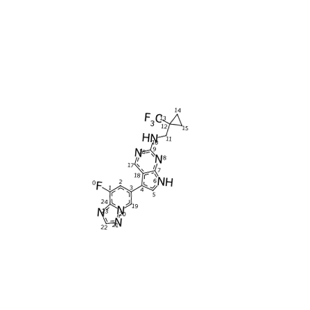 Fc1cc(-c2c[nH]c3nc(NCC4(C(F)(F)F)CC4)ncc23)cn2ncnc12